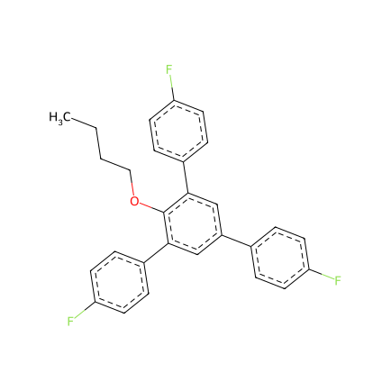 CCCCOc1c(-c2ccc(F)cc2)cc(-c2ccc(F)cc2)cc1-c1ccc(F)cc1